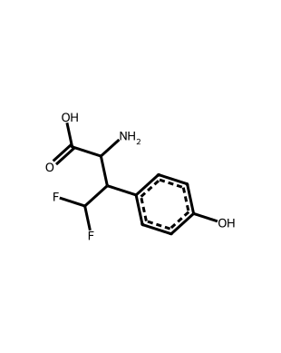 NC(C(=O)O)C(c1ccc(O)cc1)C(F)F